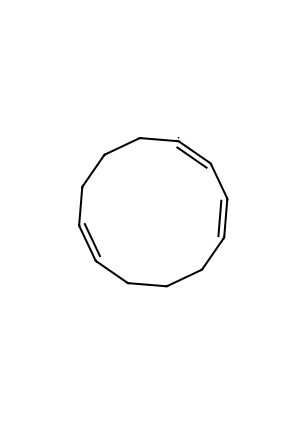 [C]1=CC=CCCCC=CCCC1